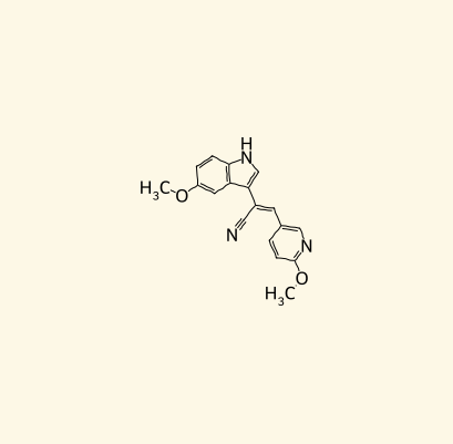 COc1ccc2[nH]cc(C(C#N)=Cc3ccc(OC)nc3)c2c1